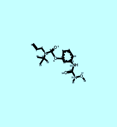 C=CCN(C(=O)Oc1cccc(NC(=O)N(C)OC)c1)C(C)(C)C